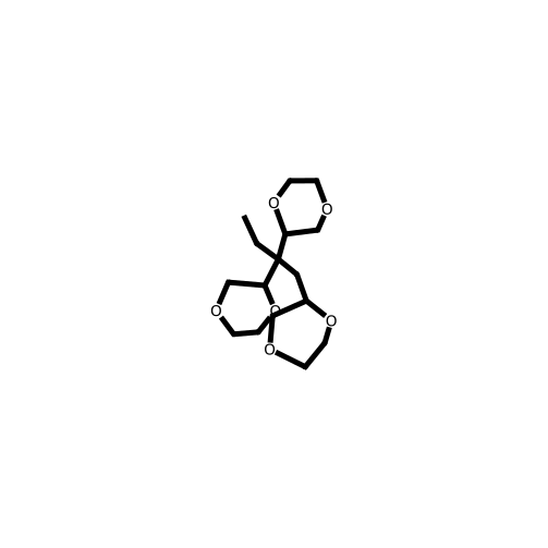 CCC(CC1COCCO1)(C1COCCO1)C1COCCO1